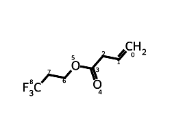 C=CCC(=O)OCCC(F)(F)F